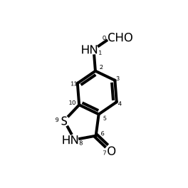 O=CNc1ccc2c(=O)[nH]sc2c1